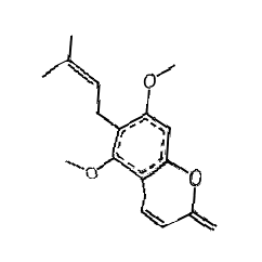 C=C1C=Cc2c(cc(OC)c(CC=C(C)C)c2OC)O1